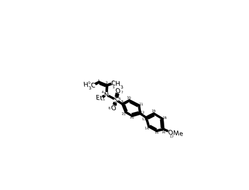 C/C=C(/C)N(CC)S(=O)(=O)c1ccc(-c2ccc(OC)cc2)cc1